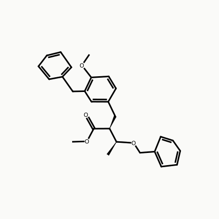 COC(=O)[C@@H](Cc1ccc(OC)c(Cc2ccccc2)c1)[C@H](C)OCc1ccccc1